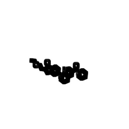 CCOCCC1Cc2cc(N3CCCc4cc(C(=O)N5CCCCC5)cnc43)ccc2C1=O